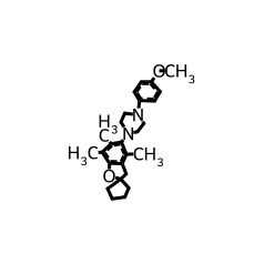 COc1ccc(N2CCN(c3c(C)c(C)c4c(c3C)CC3(CCCC3)O4)CC2)cc1